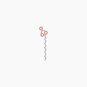 CCCCCCCCCCCCC1OCC(OC)CO1